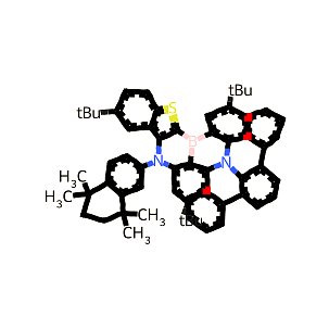 CC(C)(C)c1ccc2c(c1)B1c3sc4ccc(C(C)(C)C)cc4c3N(c3ccc4c(c3)C(C)(C)CCC4(C)C)c3cc(C(C)(C)C)cc(c31)N2c1c(-c2ccccc2)cccc1-c1ccccc1